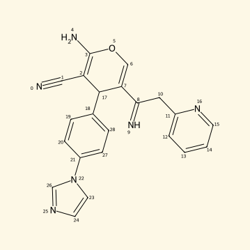 N#CC1=C(N)OC=C(C(=N)Cc2ccccn2)C1c1ccc(-n2ccnc2)cc1